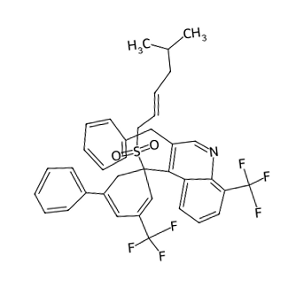 CC(C)CC=CCS(=O)(=O)C1(c2c(Cc3ccccc3)cnc3c(C(F)(F)F)cccc23)C=C(C(F)(F)F)C=C(c2ccccc2)C1